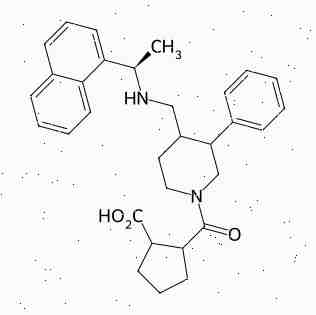 C[C@@H](NCC1CCN(C(=O)C2CCCC2C(=O)O)CC1c1ccccc1)c1cccc2ccccc12